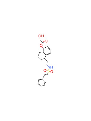 O=C(CO)Oc1cccc2c1CCCC2CCNS(=O)(=O)C=Cc1ccccc1